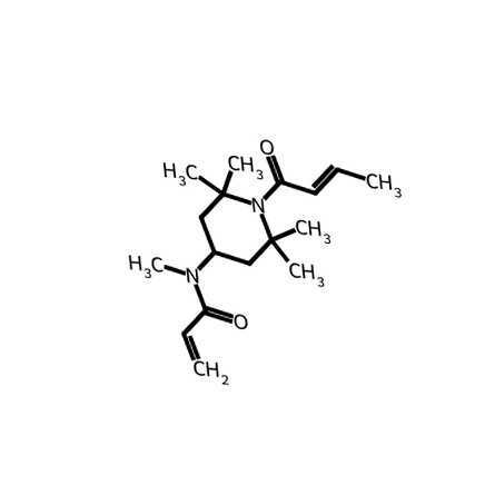 C=CC(=O)N(C)C1CC(C)(C)N(C(=O)C=CC)C(C)(C)C1